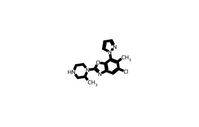 Cc1c(Cl)cc2nc(N3CCNCC3C)oc2c1-n1cccn1